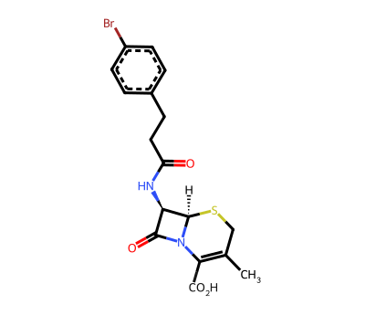 CC1=C(C(=O)O)N2C(=O)[C@@H](NC(=O)CCc3ccc(Br)cc3)[C@H]2SC1